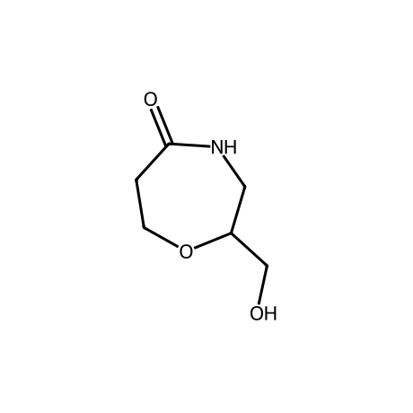 O=C1CCOC(CO)CN1